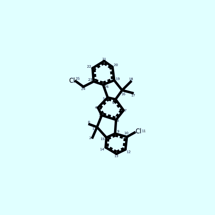 CC1(C)c2cc3c(cc2-c2c(Cl)cccc21)C(C)(C)c1cccc(CCl)c1-3